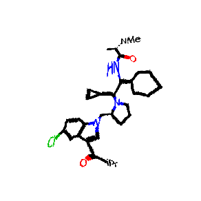 CN[C@@H](C)C(=O)N[C@H](C(=C1CC1)N1CCC[C@H]1Cn1cc(C(=O)C(C)C)c2cc(Cl)ccc21)C1CCCCC1